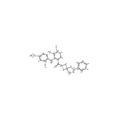 Cc1ccc(Nc2c(C(=O)N3CC(O)(CNc4ncncn4)C3)ccc(F)c2F)c(F)c1